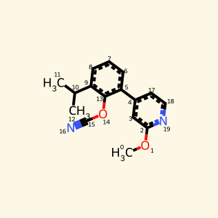 COc1cc(-c2cccc(C(C)C)c2OC#N)ccn1